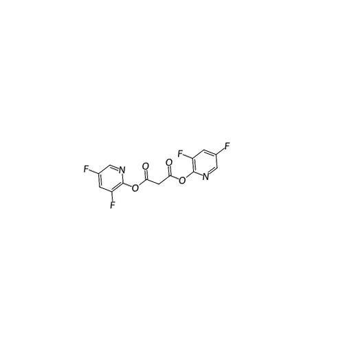 O=C(CC(=O)Oc1ncc(F)cc1F)Oc1ncc(F)cc1F